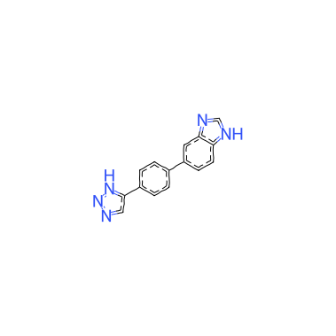 c1nc2cc(-c3ccc(-c4cnn[nH]4)cc3)ccc2[nH]1